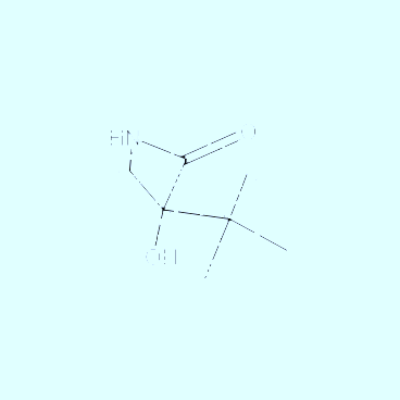 CC(C)(C)C1(O)CNC1=O